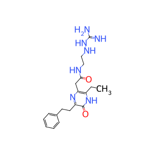 CCc1[nH]c(=O)c(CCc2ccccc2)nc1CC(=O)NCCNNC(=N)N